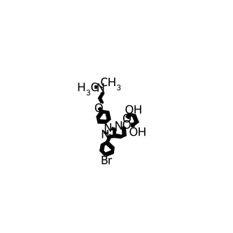 CN(C)CCCOc1ccc(-n2nc(-c3ccc(Br)cc3)c3cccnc32)cc1.O=C(O)/C=C\C(=O)O